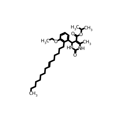 CCCCCCCCC=CCCCCCc1c(OCC)cccc1C1NC(=O)NC(C)=C1C(=O)OC(C)C